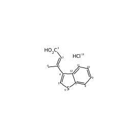 CC(=CC(=O)O)c1csc2ccccc12.Cl